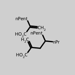 C=C(CC(CCC)CCCCC)C(=O)O.C=C(CCCCC)C(=O)O